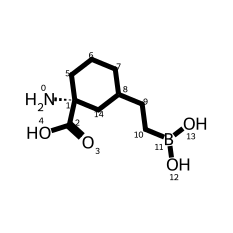 N[C@]1(C(=O)O)CCCC(CCB(O)O)C1